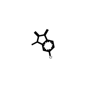 C=C1C(=C)C(C)c2cc(Cl)ccc21